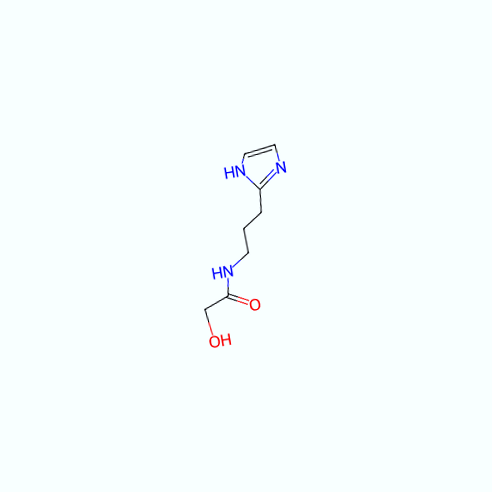 O=C(CO)NCCCc1ncc[nH]1